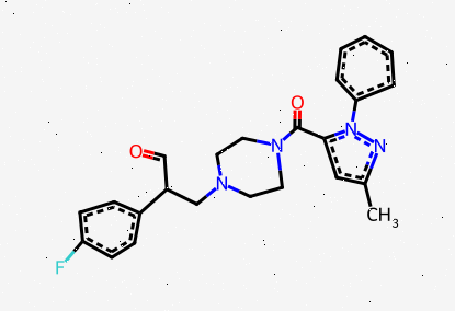 Cc1cc(C(=O)N2CCN(CC(C=O)c3ccc(F)cc3)CC2)n(-c2ccccc2)n1